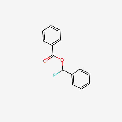 O=C(OC(F)c1ccccc1)c1ccccc1